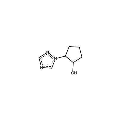 OC1CCCC1n1cncn1